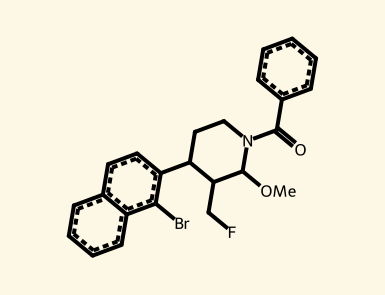 COC1C(CF)C(c2ccc3ccccc3c2Br)CCN1C(=O)c1ccccc1